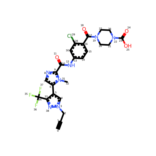 C#CCn1cc(-c2cnc(C(=O)Nc3ccc(C(=O)N4CCN(C(=O)O)CC4)c(Cl)c3)n2C)c(C(F)(F)F)n1